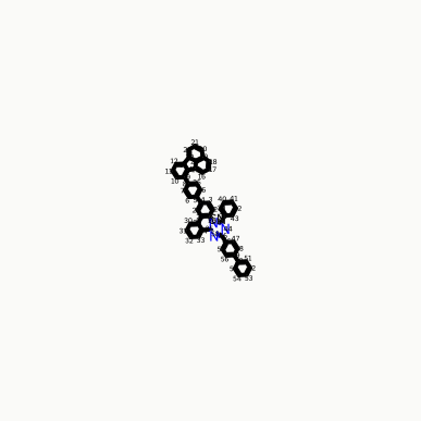 N#Cc1ccc(-c2ccc(-c3cccc4c3-c3cccc5cccc-4c35)cc2)cc1-c1ccccc1-c1nc(-c2ccccc2)nc(-c2ccc(-c3ccccc3)cc2)n1